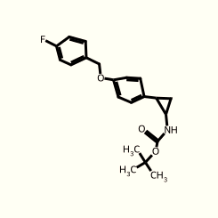 CC(C)(C)OC(=O)NC1CC1c1ccc(OCc2ccc(F)cc2)cc1